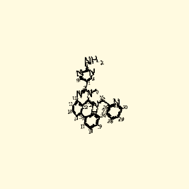 CN1C(c2cnc(N)nc2)=Nc2cccc(-c3ccccc3)c2C1NCc1ccccn1